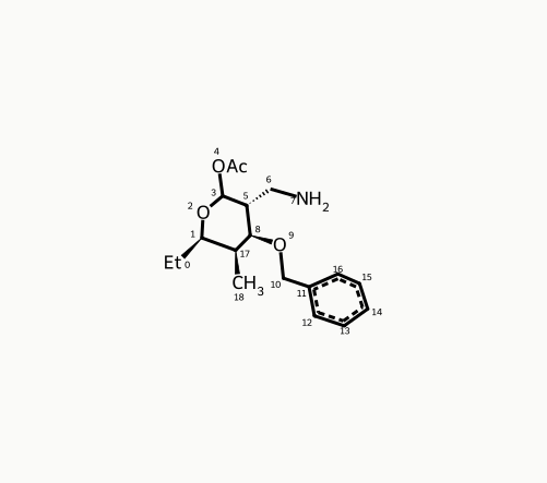 CC[C@H]1OC(OC(C)=O)[C@H](CN)[C@@H](OCc2ccccc2)[C@H]1C